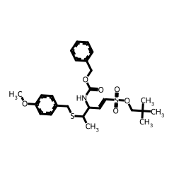 COc1ccc(CSC(C)C(C=CS(=O)(=O)OCC(C)(C)C)NC(=O)OCc2ccccc2)cc1